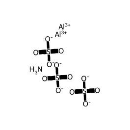 N.O=S(=O)([O-])[O-].O=S(=O)([O-])[O-].O=S(=O)([O-])[O-].[Al+3].[Al+3]